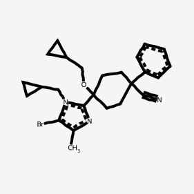 Cc1nc(C2(OCC3CC3)CCC(C#N)(c3ccccc3)CC2)n(CC2CC2)c1Br